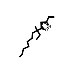 C=Cc1cc(C(C)(CC)CCCCCCC)on1